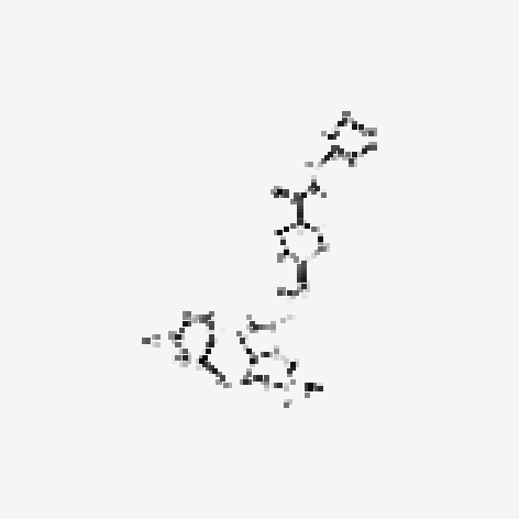 COC1C(O[Si](C)(C)C(C)(C)C)[C@@H](CON=C2CCN(C(=O)OCc3ccccc3)CC2)O[C@H]1n1ccc(=O)[nH]c1=O